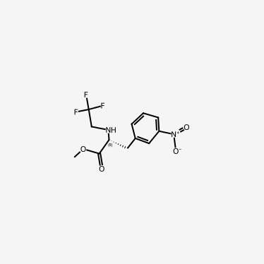 COC(=O)[C@@H](Cc1cccc([N+](=O)[O-])c1)NCC(F)(F)F